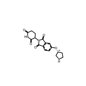 O=C1CCC(N2C(=O)c3ccc(O[C@@H]4CCNC4)cc3C2=O)C(=O)N1